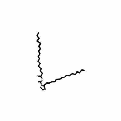 CCCCCCCCCCCCCCCCCC(=O)OC(C)N1CCN=C1CCCCCCCCCCCCCCCC